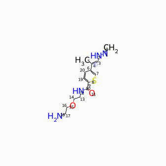 C=NN/C=C(\C)C1=CSC(C(=O)NCCOCCN)=C=C1